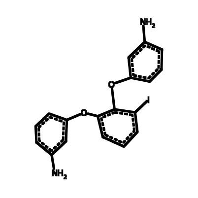 Nc1cccc(Oc2cccc(I)c2Oc2cccc(N)c2)c1